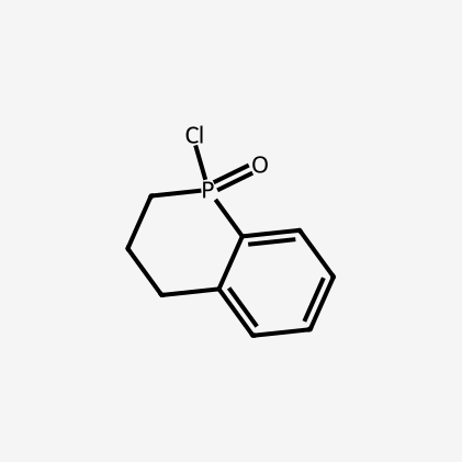 O=P1(Cl)CCCc2ccccc21